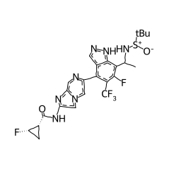 CC(N[S+]([O-])C(C)(C)C)c1c(F)c(C(F)(F)F)c(-c2cn3cc(NC(=O)[C@@H]4C[C@@H]4F)nc3cn2)c2cn[nH]c12